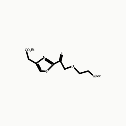 CCCCCCCCCCCCOCC(=O)c1nc(CC(=O)OCC)cs1